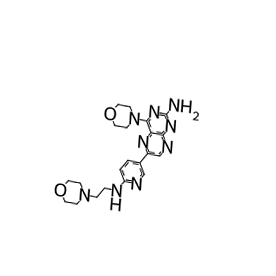 Nc1nc(N2CCOCC2)c2nc(-c3ccc(NCCN4CCOCC4)nc3)cnc2n1